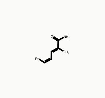 C/C(=C\C=C/C(C)C)C(N)=O